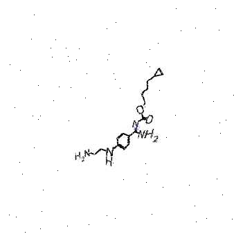 NCCNc1ccc(/C(N)=N/C(=O)OCCCCC2CC2)cc1